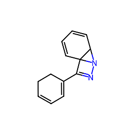 C1=CCCC(C2=NN3C4C=CC=CC243)=C1